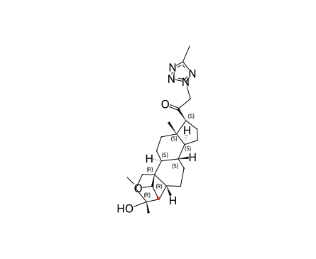 COC(C)[C@]12CC[C@@](C)(O)C[C@H]1CC[C@H]1[C@@H]3CC[C@H](C(=O)Cn4nnc(C)n4)[C@@]3(C)CC[C@@H]12